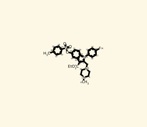 CCOC(=O)c1c(CN2CCN(C)CC2)n(-c2ccc(F)cc2)c2ccc(OS(=O)(=O)c3ccc(C)cc3)cc12